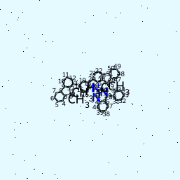 CC1(C)c2ccccc2-c2cccc(-c3ccc4c(c3)c3ccc5c(c3n4-c3nc(-c4ccccc4)c4ccccc4n3)C(C)(C)c3ccccc3-5)c21